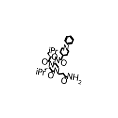 CC(C)C[C@H]1ON(C(=O)C2CCN(c3ccccc3)CC2)C2CN(CCC(N)=O)C(=O)[C@H](CC(C)C)N2C1=O